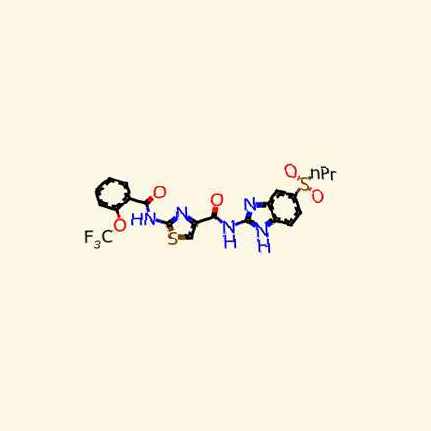 CCCS(=O)(=O)c1ccc2[nH]c(NC(=O)c3csc(NC(=O)c4ccccc4OC(F)(F)F)n3)nc2c1